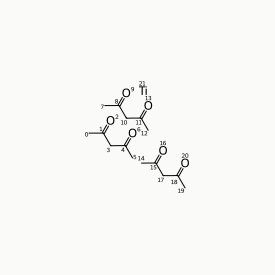 CC(=O)CC(C)=O.CC(=O)CC(C)=O.CC(=O)CC(C)=O.[Ti]